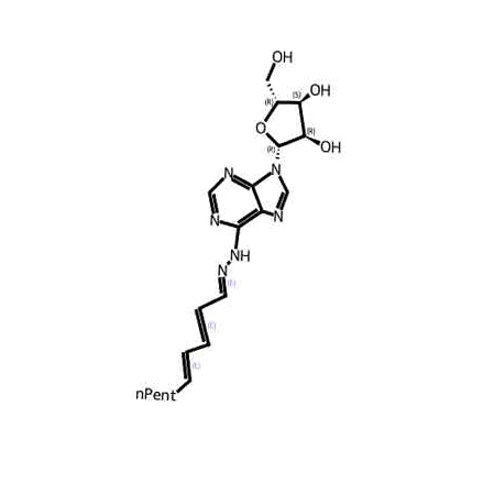 CCCCC/C=C/C=C/C=N/Nc1ncnc2c1ncn2[C@@H]1O[C@H](CO)[C@@H](O)[C@H]1O